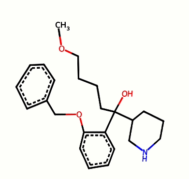 COCCCCC(O)(c1ccccc1OCc1ccccc1)C1CCCNC1